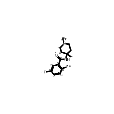 CC(C)N1CCC(C)(NC(=O)c2cc(F)ccc2F)CC1